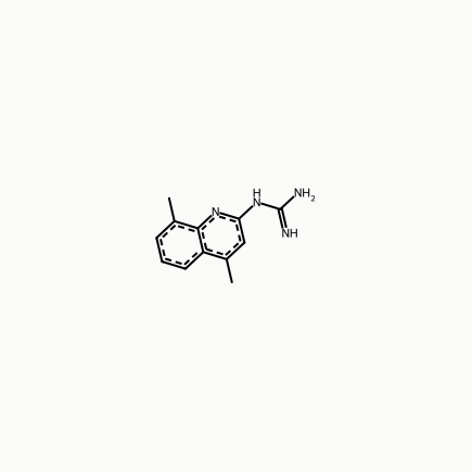 Cc1cc(NC(=N)N)nc2c(C)cccc12